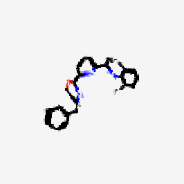 C/C(=N\c1c(C(C)C)cccc1C(C)C)c1cccc(C2=N[C@@H](Cc3ccccc3)CO2)n1